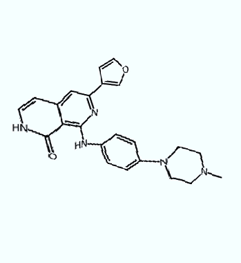 CN1CCN(c2ccc(Nc3nc(-c4ccoc4)cc4cc[nH]c(=O)c34)cc2)CC1